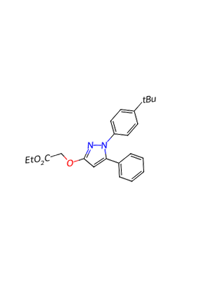 CCOC(=O)COc1cc(-c2ccccc2)n(-c2ccc(C(C)(C)C)cc2)n1